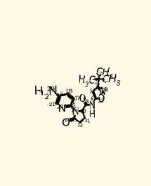 CC(C)(C)c1cc(NC(=O)C2CCC(=O)N2c2ccc(N)cn2)on1